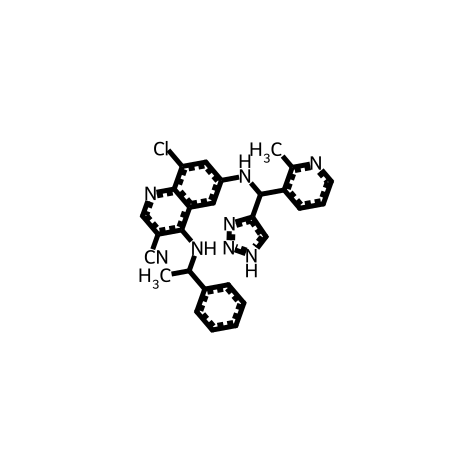 Cc1ncccc1C(Nc1cc(Cl)c2ncc(C#N)c(NC(C)c3ccccc3)c2c1)c1c[nH]nn1